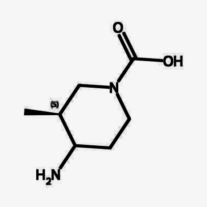 C[C@H]1CN(C(=O)O)CCC1N